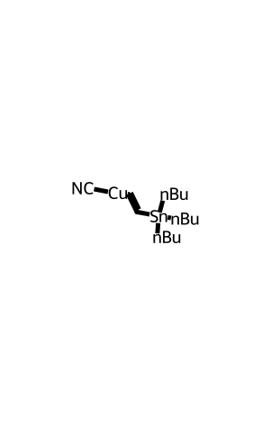 CCC[CH2][Sn]([CH]=[CH][Cu][C]#N)([CH2]CCC)[CH2]CCC